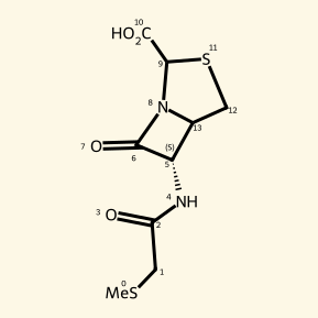 CSCC(=O)N[C@@H]1C(=O)N2C(C(=O)O)SCC12